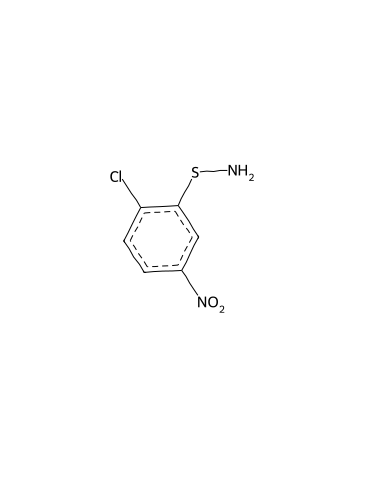 NSc1cc([N+](=O)[O-])ccc1Cl